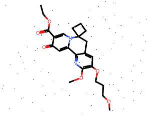 CCOC(=O)c1cn2c(cc1=O)-c1nc(OC)c(OCCCOC)cc1CC21CCC1